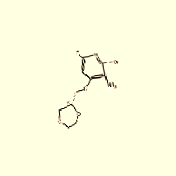 Nc1c(OC[C@H]2COCCO2)cc(F)nc1Br